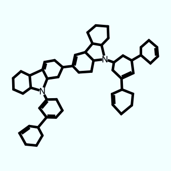 C1=CC(C2=CCCC(N3C4CC(C5=CC6C7CCCCC7N(C7CC(C8C=CCCC8)=CC(C8CC=CCC8)C7)C6CC5)CC=C4C4CCCCC43)=C2)CCC1